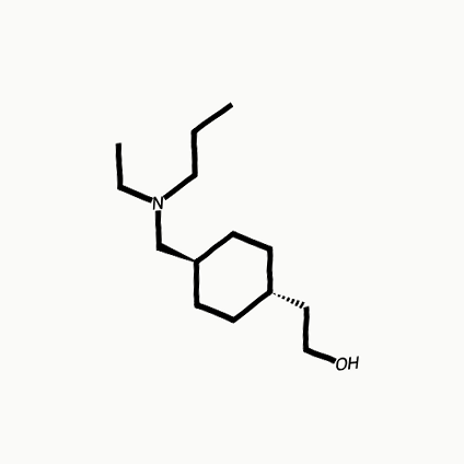 CCCN(CC)C[C@H]1CC[C@H](CCO)CC1